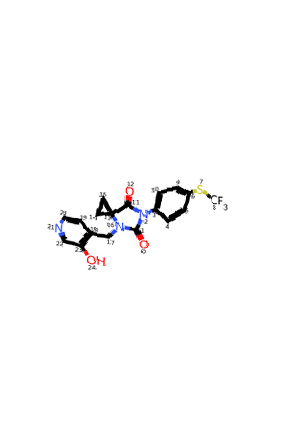 O=C1N(c2ccc(SC(F)(F)F)cc2)C(=O)C2(CC2)N1Cc1ccncc1O